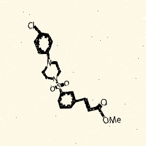 COC(=O)C=Cc1cccc(S(=O)(=O)N2CCN(c3ccc(Cl)cc3)CC2)c1